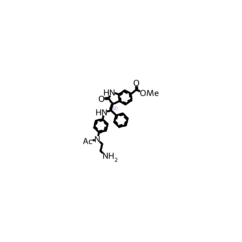 COC(=O)c1ccc2c(c1)NC(=O)/C2=C(\Nc1ccc(N(CCN)C(C)=O)cc1)c1ccccc1